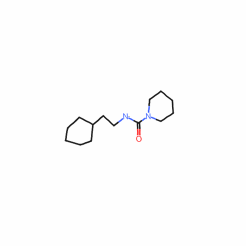 O=C([N]CCC1CCCCC1)N1CCCCC1